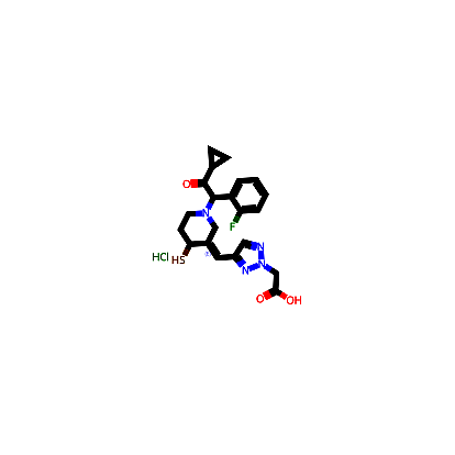 Cl.O=C(O)Cn1ncc(/C=C2\CN(C(C(=O)C3CC3)c3ccccc3F)CCC2S)n1